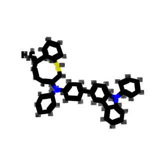 C=C1/C=C\C=C(\N(c2ccccc2)c2ccc(-c3ccc4c(c3)c3ccccc3n4-c3ccccc3)cc2)CSc2ccccc21